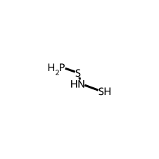 PSNS